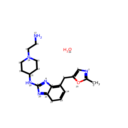 Cc1ncc(CC2=C3N=C(NC4CCN(CCN)CC4)N=C3CC=C2)o1.O